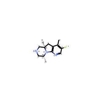 Cc1c(F)cnc2c1C[C@@H]1CNC[C@@H](C)N21